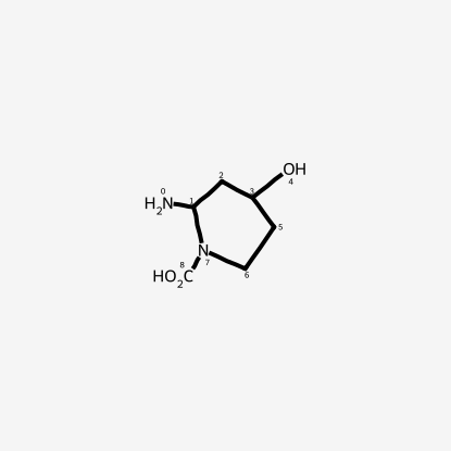 NC1CC(O)CCN1C(=O)O